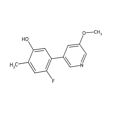 COc1cncc(-c2cc(O)c(C)cc2F)c1